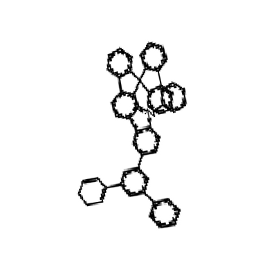 C1=CC(c2cc(-c3ccccc3)cc(-c3ccc4c(c3)c3ccc5c(c3n4-c3ccccc3)C3(c4ccccc4-c4ccccc43)c3ccccc3-5)c2)=CCC1